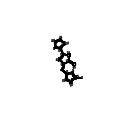 Cn1cc(C=C2N=C(c3cccs3)OC2=O)cn1